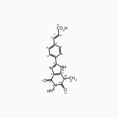 CCCn1c(=O)c2nc(-c3ccc(/C=C/C(=O)O)cc3)[nH]c2n(C)c1=O